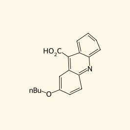 CCCCOc1ccc2nc3ccccc3c(C(=O)O)c2c1